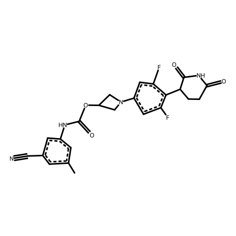 Cc1cc(C#N)cc(NC(=O)OC2CN(c3cc(F)c(C4CCC(=O)NC4=O)c(F)c3)C2)c1